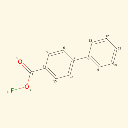 O=C(OF)c1ccc(-c2ccccc2)cc1